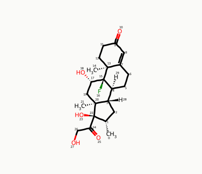 C[C@H]1C[C@H]2[C@@H]3CCC4=CC(=O)CC[C@]4(C)[C@@]3(F)[C@@H](O)C[C@]2(C)[C@@]1(O)C(=O)CO